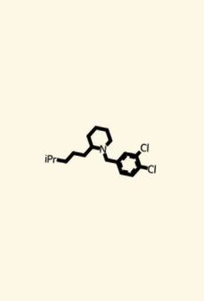 CC(C)CCCC1CCCCN1Cc1ccc(Cl)c(Cl)c1